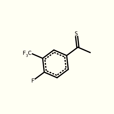 CC(=S)c1ccc(F)c(C(F)(F)F)c1